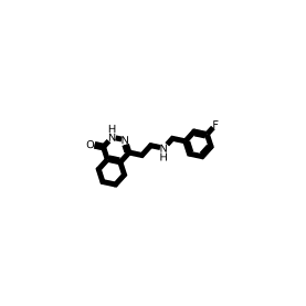 O=c1[nH]nc(CCNCc2cccc(F)c2)c2c1CCCC2